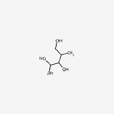 CCCC(O)C(O)C(C)CO